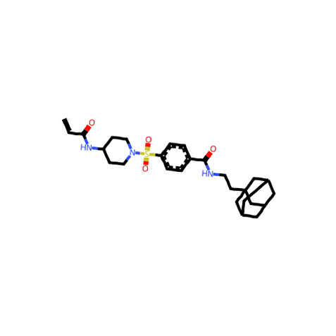 C=CC(=O)NC1CCN(S(=O)(=O)c2ccc(C(=O)NCCC34CC5CC(CC(C5)C3)C4)cc2)CC1